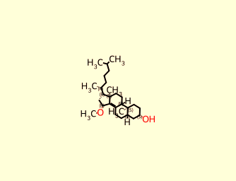 CO[C@@H]1C[C@H]([C@H](C)CCCC(C)C)[C@@]2(C)CC[C@H]3C(=C12)CC[C@H]1C[C@@H](O)CC[C@@]13C